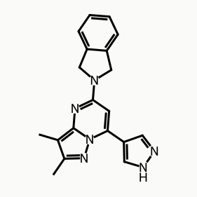 Cc1nn2c(-c3cn[nH]c3)cc(N3Cc4ccccc4C3)nc2c1C